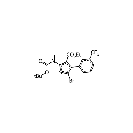 CCOC(=O)c1c(NC(=O)OC(C)(C)C)sc(Br)c1-c1cccc(C(F)(F)F)c1